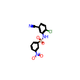 N#Cc1ccc(Cl)c(NS(=O)(=O)c2cccc([N+](=O)[O-])c2)c1